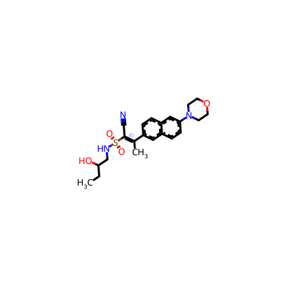 CCC(O)CNS(=O)(=O)/C(C#N)=C(\C)c1ccc2cc(N3CCOCC3)ccc2c1